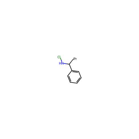 CC(C)C(NCl)c1ccccc1